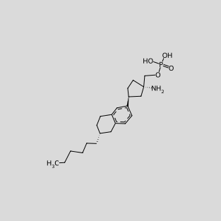 CCCCCC[C@@H]1CCc2cc([C@H]3CC[C@@](N)(COP(=O)(O)O)C3)ccc2C1